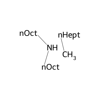 CCCCCCCC.CCCCCCCCNCCCCCCCC